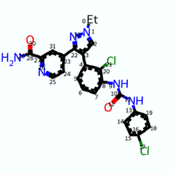 CCn1cc(-c2cccc(NC(=O)Nc3ccc(Cl)cc3)c2Cl)c(-c2ccnc(C(N)=O)c2)n1